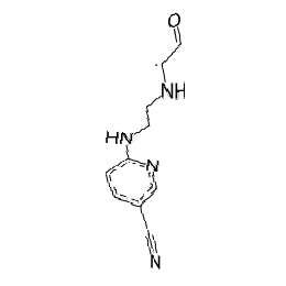 N#Cc1ccc(NCCN[CH]C=O)nc1